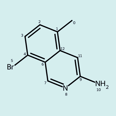 Cc1ccc(Br)c2cnc(N)cc12